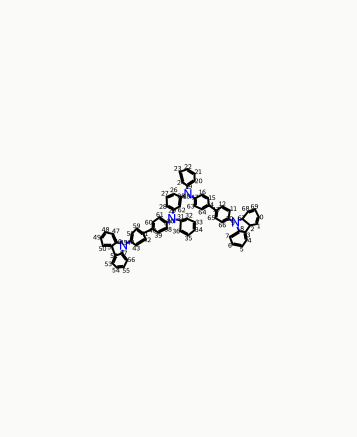 C1=CC2c3ccccc3N(c3ccc(-c4ccc(N(c5ccccc5)c5cccc(N(c6ccccc6)c6ccc(-c7ccc(-n8c9ccccc9c9ccccc98)cc7)cc6)c5)cc4)cc3)C2C=C1